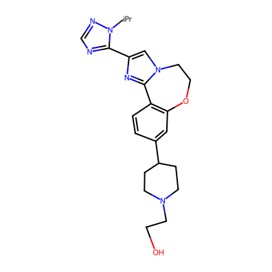 CC(C)n1ncnc1-c1cn2c(n1)-c1ccc(C3CCN(CCO)CC3)cc1OCC2